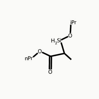 CCCOC(=O)C(C)[SiH2]OC(C)C